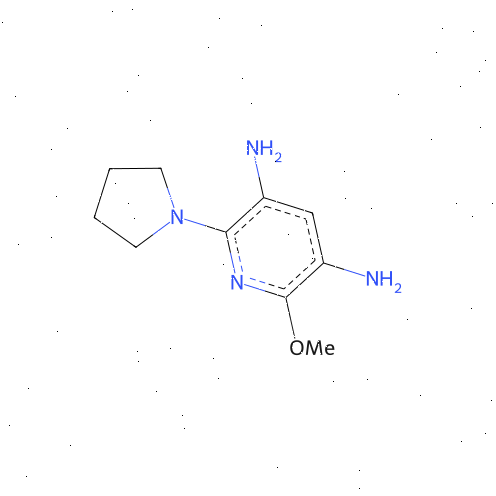 COc1nc(N2CCCC2)c(N)cc1N